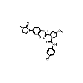 CO[C@@H]1C[C@H](C(=O)Nc2ccc(N3CCN(C)C3=O)cc2F)N(C(=O)Nc2ccc(Cl)cc2)C1